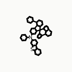 c1ccc(-c2cccc3c2-c2ccc(N(c4ccccc4)c4ccc5c(c4)sc4ccccc45)cc2C32c3ccccc3-c3cccc4cccc2c34)cc1